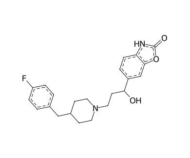 O=c1[nH]c2ccc(C(O)CCN3CCC(Cc4ccc(F)cc4)CC3)cc2o1